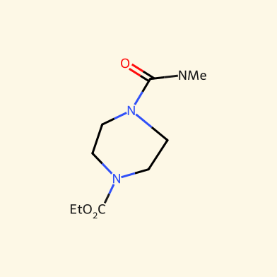 CCOC(=O)N1CCN(C(=O)NC)CC1